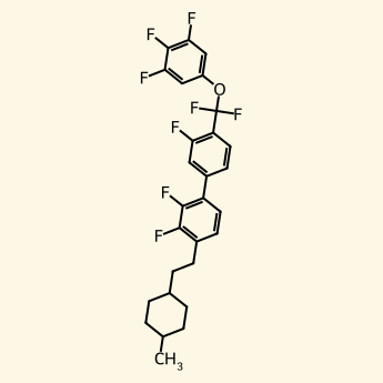 CC1CCC(CCc2ccc(-c3ccc(C(F)(F)Oc4cc(F)c(F)c(F)c4)c(F)c3)c(F)c2F)CC1